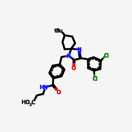 CC(C)(C)C1CCC2(CC1)N=C(c1cc(Cl)cc(Cl)c1)C(=O)N2Cc1ccc(C(=O)NCCC(=O)O)cc1